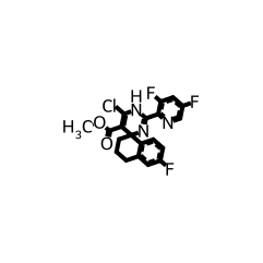 COC(=O)C1=C(Cl)NC(c2ncc(F)cc2F)=NC12CCCc1cc(F)ccc12